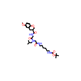 COc1ccc2c(c1)CC(C(=O)NCC(=O)N(CC(=O)NCCCCCCNC(=O)OC(C)(C)C)CC(C)C)CO2